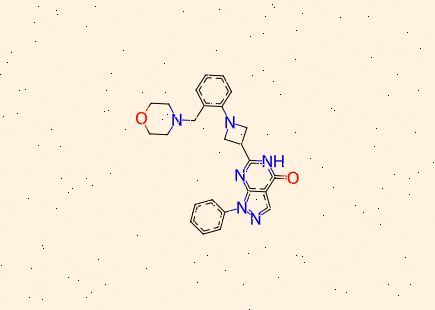 O=c1[nH]c(C2CN(c3ccccc3CN3CCOCC3)C2)nc2c1cnn2-c1ccccc1